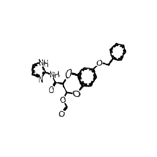 O=COC1Oc2ccc(OCc3ccccc3)cc2OC1C(=O)Nc1ncc[nH]1